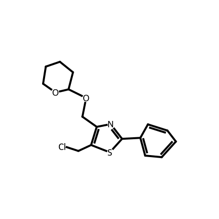 ClCc1sc(-c2ccccc2)nc1COC1CCCCO1